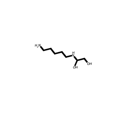 NCCCCCNC(O)CO